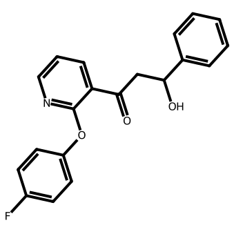 O=C(CC(O)c1ccccc1)c1cccnc1Oc1ccc(F)cc1